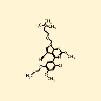 COCOc1cc(-c2nc(SC)nc3c2c(C#N)cn3COCC[Si](C)(C)C)c(Cl)cc1OC